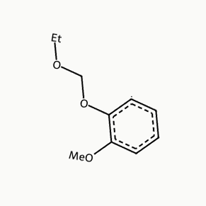 CCOCOc1[c]cccc1OC